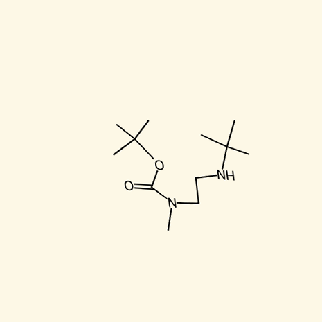 CN(CCNC(C)(C)C)C(=O)OC(C)(C)C